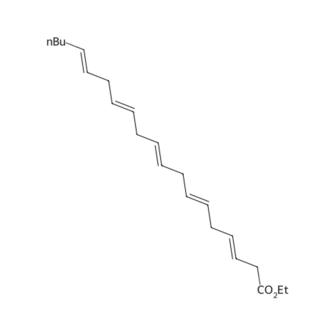 CCCCC=CCC=CCC=CCC=CCC=CCC(=O)OCC